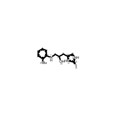 CC(C)(C)c1ccccc1NCC(O)Cc1c[nH]c(=S)[nH]1